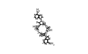 Nc1ncnc2c1ncn2[C@@H]1O[C@@H]2COP(=O)(S)OC3C(O)[C@@H](COP(=O)(O)OC2C1F)O[C@H]3n1cnc2c(N)ncnc21